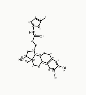 Cc1cnc(NC(=O)CC[C@@H]2CC(O)[C@@]3(C)CCC4c5cc(F)c(O)cc5CCC4C23)s1